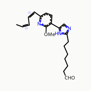 C/C=C\C=C/c1ccc(-c2cnc(CCCCCCC=O)[nH]2)c(OC)n1